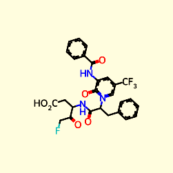 O=C(O)CC(NC(=O)C(Cc1ccccc1)n1cc(C(F)(F)F)cc(NC(=O)c2ccccc2)c1=O)C(=O)CF